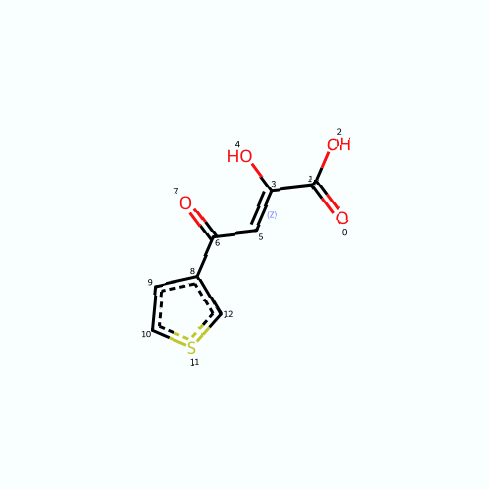 O=C(O)/C(O)=C/C(=O)c1ccsc1